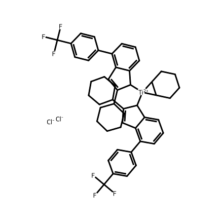 FC(F)(F)c1ccc(-c2cccc3c2C=C(C2CCCCC2)[CH]3[Ti+2]2([CH]3C(C4CCCCC4)=Cc4c(-c5ccc(C(F)(F)F)cc5)cccc43)[CH]3CCCC[CH]32)cc1.[Cl-].[Cl-]